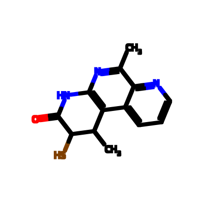 Cc1nc2c(c3cccnc13)C(C)C(S)C(=O)N2